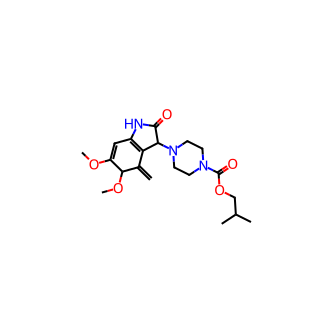 C=C1C2=C(C=C(OC)C1OC)NC(=O)C2N1CCN(C(=O)OCC(C)C)CC1